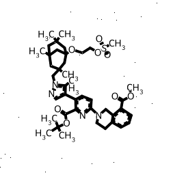 COC(=O)c1cccc2c1CN(c1ccc(-c3cnn(CC4(C)CC5(C)CC(C)(C)CC(OCCOS(C)(=O)=O)(C4)C5)c3C)c(C(=O)OC(C)(C)C)n1)CC2